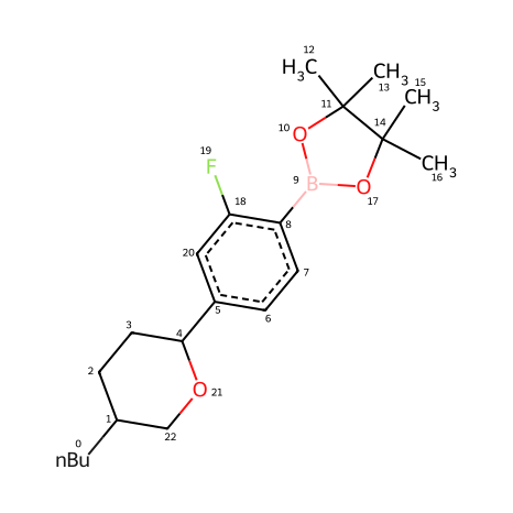 CCCCC1CCC(c2ccc(B3OC(C)(C)C(C)(C)O3)c(F)c2)OC1